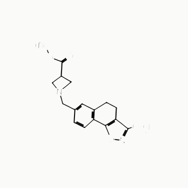 CC(C)(C)OC(=O)C1CN(Cc2ccc3c(c2)CCc2c(C(=O)O)noc2-3)C1